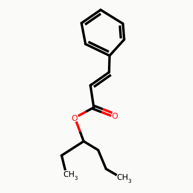 CCCC(CC)OC(=O)/C=C/c1ccccc1